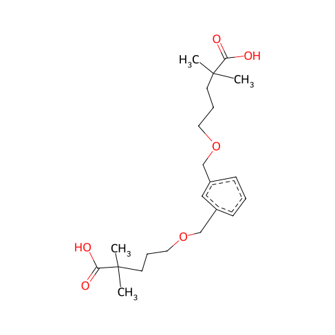 CC(C)(CCCOCc1cccc(COCCCC(C)(C)C(=O)O)c1)C(=O)O